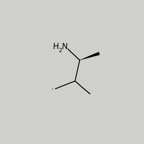 [CH2]C(C)[C@H](C)N